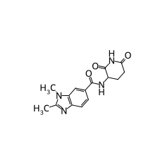 Cc1nc2ccc(C(=O)NC3CCC(=O)NC3=O)cc2n1C